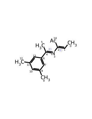 C/C=C(/N=C(\C)c1cc(C)cc(C)c1)C(C)=O